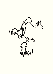 NC[C@@H]1CCCN1c1nc(Nc2ccc3cn[nH]c3c2)nc2[nH]ccc12